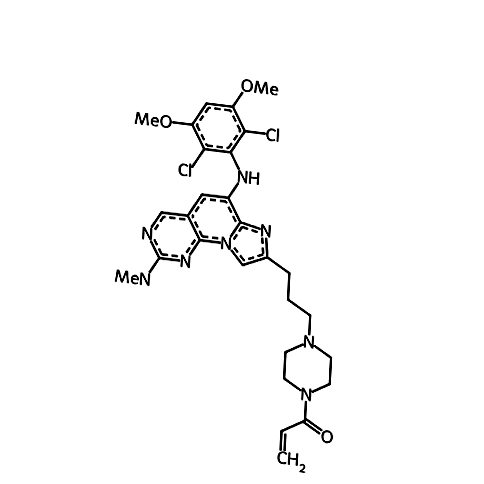 C=CC(=O)N1CCN(CCCc2cn3c(n2)c(Nc2c(Cl)c(OC)cc(OC)c2Cl)cc2cnc(NC)nc23)CC1